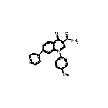 CC(C)(C)c1ccc(-n2cc(C(N)=O)c(=O)c3ccc(-c4ccncc4)cc32)cc1